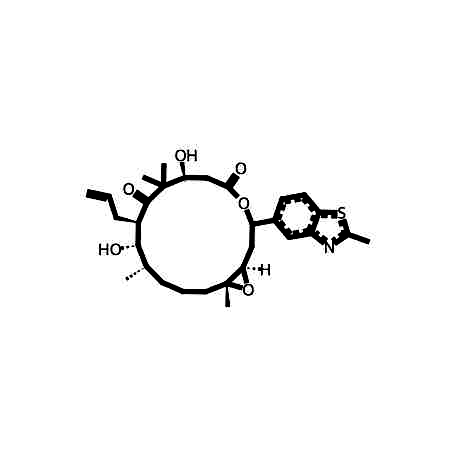 C=CC[C@H]1C(=O)C(C)(C)[C@@H](O)CC(=O)OC(c2ccc3sc(C)nc3c2)C[C@H]2O[C@]2(C)CCC[C@H](C)[C@@H]1O